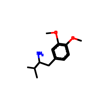 COc1ccc(CC(N)C(C)C)cc1OC